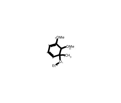 CCOC1(C)C=CC=C(OC)C1OC